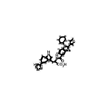 O=C(NC(Cc1c[nH]c2ccc(-c3nnn[nH]3)cc12)C(=O)O)c1ccc2c(c1)nc(-c1ccoc1)n2C1CCCCC1